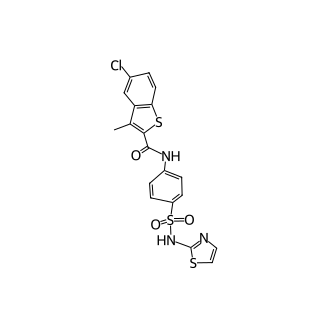 Cc1c(C(=O)Nc2ccc(S(=O)(=O)Nc3nccs3)cc2)sc2ccc(Cl)cc12